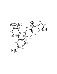 CCOC(=O)C1CCN(c2cc(C(F)(F)F)ccc2C2CCN(C(=O)C3CCNC3)CC2)CC1